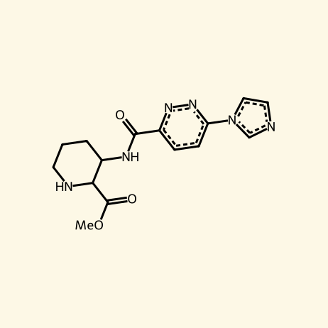 COC(=O)C1NCCCC1NC(=O)c1ccc(-n2ccnc2)nn1